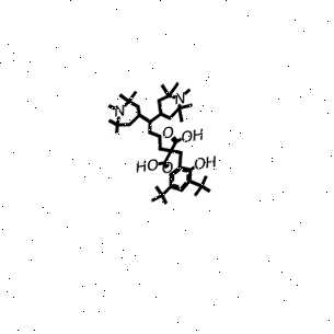 CN1C(C)(C)CC(C(CCCC(Cc2cc(C(C)(C)C)cc(C(C)(C)C)c2O)(C(=O)O)C(=O)O)C2CC(C)(C)N(C)C(C)(C)C2)CC1(C)C